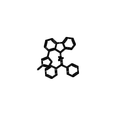 CC1=CCC(c2cccc3c2[CH]([Zr]=[C](c2ccccc2)c2ccccc2)c2ccccc2-3)=C1